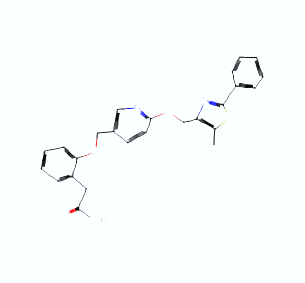 COC(=O)Cc1ccccc1OCc1ccc(OCc2nc(-c3ccccc3)sc2C)nc1